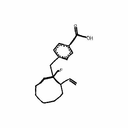 C=CC1CCCCCCC1(F)Cc1ccc(C(=O)O)cc1